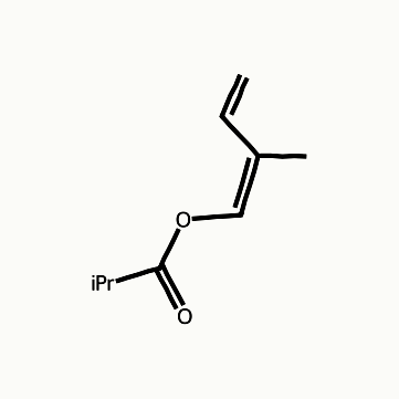 C=CC(C)=COC(=O)C(C)C